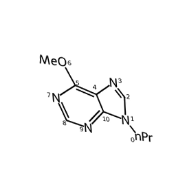 CCCn1cnc2c(OC)ncnc21